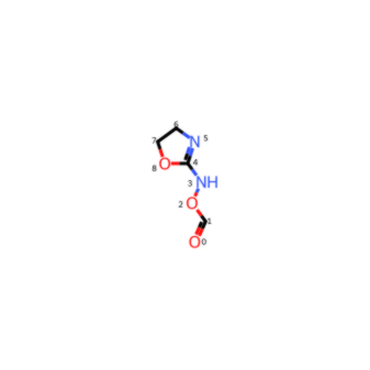 O=CONC1=NCCO1